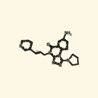 Nc1ccc2c(c1)c(=O)n(C/C=C/c1cccnc1)c1nnc(N3CCCC3)n21